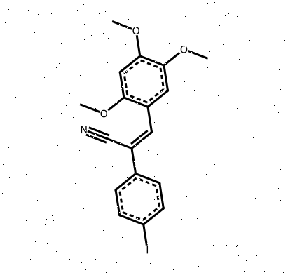 COc1cc(OC)c(OC)cc1C=C(C#N)c1ccc(I)cc1